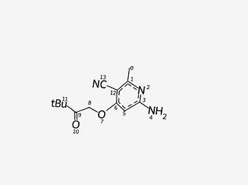 Cc1nc(N)cc(OCC(=O)C(C)(C)C)c1C#N